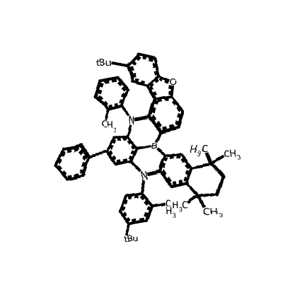 Cc1cc(C(C)(C)C)ccc1N1c2cc3c(cc2B2c4ccc5oc6ccc(C(C)(C)C)cc6c5c4N(c4ccccc4C)c4cc(-c5ccccc5)cc1c42)C(C)(C)CCC3(C)C